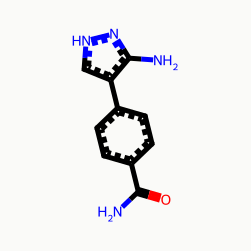 NC(=O)c1ccc(-c2c[nH]nc2N)cc1